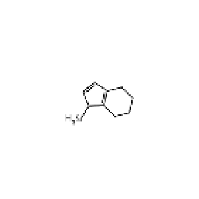 [SiH3][C]1C=CC2=C1CCCC2